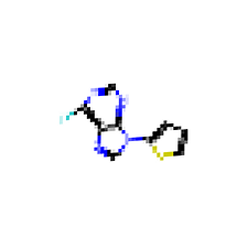 Fc1ncnc2c1ncn2-c1cccs1